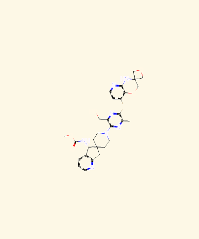 Cc1nc(N2CCC3(CC2)Cc2ncccc2[C@H]3NC(=O)OC(C)(C)C)c(CO)nc1Sc1ccnc2c1OCC1(COC1)N2